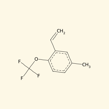 C=Cc1cc(C)ccc1OC(F)(F)F